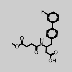 COC(=O)CCC(=O)NC(CC(=O)O)Cc1ccc(-c2cccc(F)c2)cc1